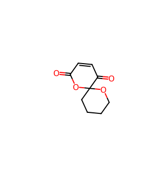 O=C1C=CC(=O)C2(CCCCO2)O1